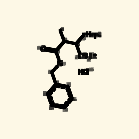 CCCCCCCC(C(=O)OCC)C(C)C(=O)OCc1ccccc1.Cl